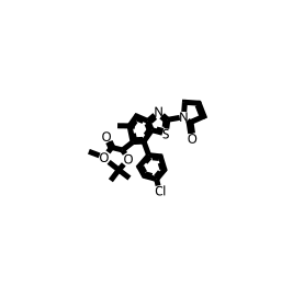 COC(=O)C(OC(C)(C)C)c1c(C)cc2nc(N3CC=CC3=O)sc2c1-c1ccc(Cl)cc1